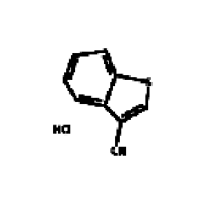 Cl.N#Cc1csc2ccccc12